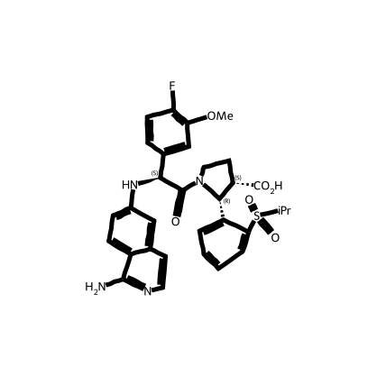 COc1cc([C@H](Nc2ccc3c(N)nccc3c2)C(=O)N2CC[C@H](C(=O)O)[C@@H]2c2ccccc2S(=O)(=O)C(C)C)ccc1F